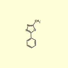 [CH2]c1nnc(-c2ccccc2)o1